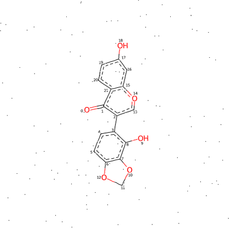 O=c1c(-c2ccc3c(c2O)OCO3)coc2cc(O)ccc12